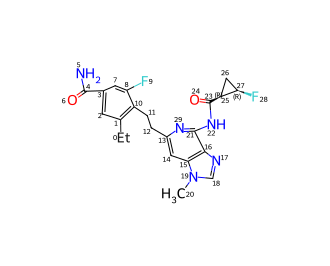 CCc1cc(C(N)=O)cc(F)c1CCc1cc2c(ncn2C)c(NC(=O)[C@H]2C[C@H]2F)n1